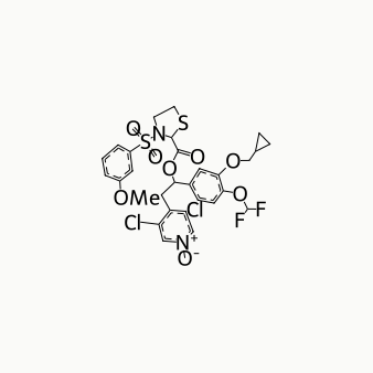 COc1cccc(S(=O)(=O)N2CCSC2C(=O)OC(Cc2c(Cl)c[n+]([O-])cc2Cl)c2ccc(OC(F)F)c(OCC3CC3)c2)c1